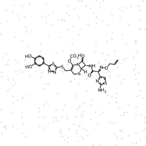 C=CCON=C(C(=O)N[C@@H]1C(=O)N2C(OC(=O)O)=C(CSc3nnc(-c4ccc(O)c(O)c4)s3)CS[C@@H]12)c1csc(N)n1